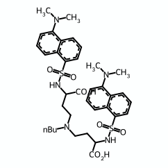 CCCCN(CCC(NS(=O)(=O)c1cccc2c(N(C)C)cccc12)C(=O)O)CCC(NS(=O)(=O)c1cccc2c(N(C)C)cccc12)C(=O)O